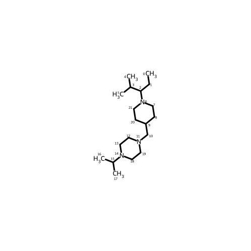 CCC(C(C)C)N1CCC(CN2CCN(C(C)C)CC2)CC1